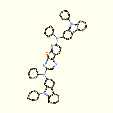 c1ccc(N(c2ccc3c4ccccc4n(-c4ccccc4)c3c2)c2ccc3c(n2)oc2nc(N(c4ccccc4)c4ccc5c6ccccc6n(-c6ccccc6)c5c4)cnc23)cc1